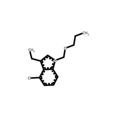 CCCOCn1cc(CC)c2c(Cl)cccc21